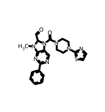 CN1c2nc(-c3ccccc3)ncc2N(C(=O)N2CCN(c3nccs3)CC2)C1C=O